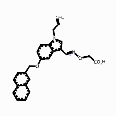 C=CCn1cc(/C=N/OCC(=O)O)c2cc(OCc3ccc4ccccc4c3)ccc21